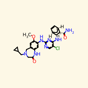 COc1cc2c(cc1Nc1ncc(Cl)c(N[C@H]3[C@@H](C(N)=O)[C@@H]4C=C[C@H]3C4)n1)NC(=O)CN(CC1CC1)C2